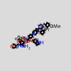 COc1ccc(CN2CCN(C3CC4(CCN(c5ccc(C(=O)NS(=O)(=O)c6cc(N)c(NCC7(F)CCOCC7)c7c6OC(F)(F)O7)c(Oc6cnc7[nH]ccc7c6)c5)CC4)C3)[C@H](c3ccccc3C(C)C)C2)cc1